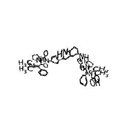 CN(C)[C@@H](C(=O)N1CCC[C@H]1C(=O)Nc1ccc(-c2cc3cc(NC(=O)[C@@H]4CCCN4C(=O)[C@@H](c4ccccc4)N(C(=O)O)C(C)(C)C)ccc3[nH]2)cc1)c1ccccc1